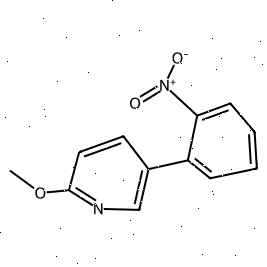 COc1ccc(-c2ccccc2[N+](=O)[O-])cn1